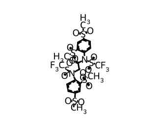 CS(=O)(=O)c1ccc(N(C(=O)C(=O)N(c2ccc(S(C)(=O)=O)cc2S(C)(=O)=O)S(=O)(=O)C(F)(F)F)S(=O)(=O)C(F)(F)F)c(S(C)(=O)=O)c1